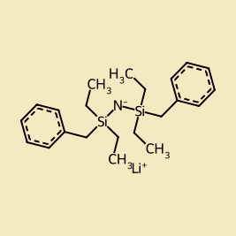 CC[Si](CC)(Cc1ccccc1)[N-][Si](CC)(CC)Cc1ccccc1.[Li+]